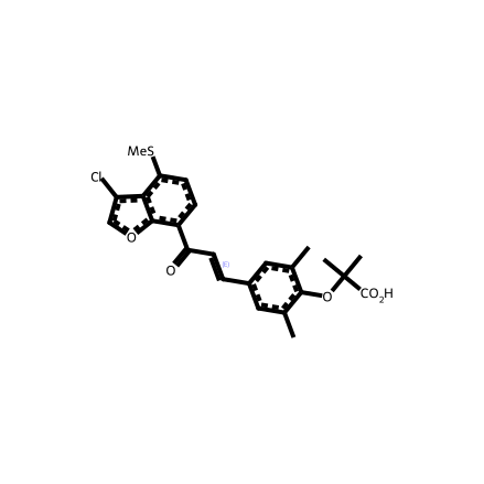 CSc1ccc(C(=O)/C=C/c2cc(C)c(OC(C)(C)C(=O)O)c(C)c2)c2occ(Cl)c12